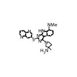 CNc1cccc2c1[nH]c1nc(Sc3cnc4cccnc4c3)nc(N3CCC(C)(N)C3)c12